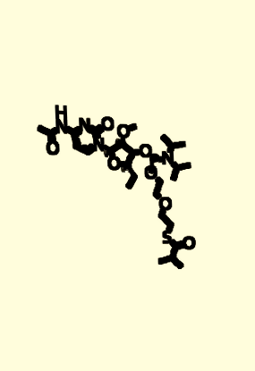 CC[C@H]1O[C@@H](n2ccc(NC(C)=O)nc2=O)[C@@H](OC)C1OP(OCCOCCSC(=O)C(C)C)N(C(C)C)C(C)C